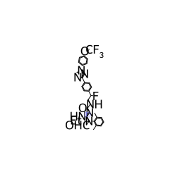 CCN/C(=N\C(=O)NCC(F)c1ccc(-c2ncn(-c3ccc(OC(F)(F)F)cc3)n2)cc1)N(C=O)c1c(C)cccc1C